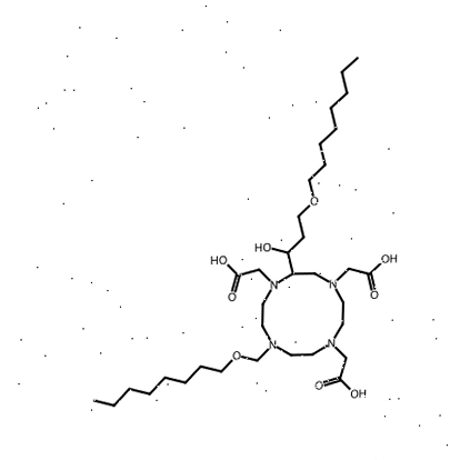 CCCCCCCCOCCC(O)C1CN(CC(=O)O)CCN(CC(=O)O)CCN(COCCCCCCCC)CCN1CC(=O)O